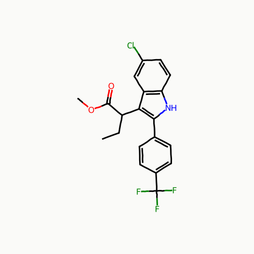 CCC(C(=O)OC)c1c(-c2ccc(C(F)(F)F)cc2)[nH]c2ccc(Cl)cc12